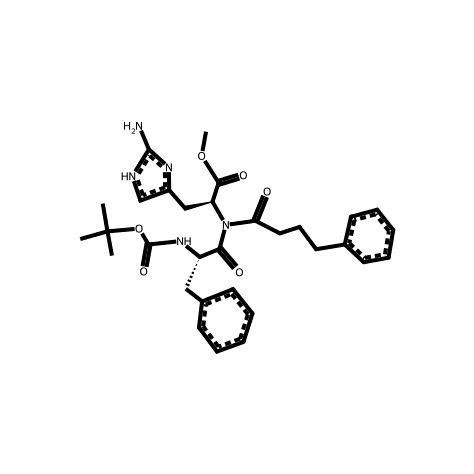 COC(=O)[C@H](Cc1c[nH]c(N)n1)N(C(=O)CCCc1ccccc1)C(=O)[C@H](Cc1ccccc1)NC(=O)OC(C)(C)C